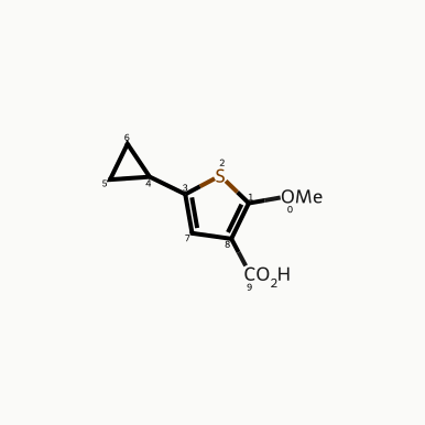 COc1sc(C2CC2)cc1C(=O)O